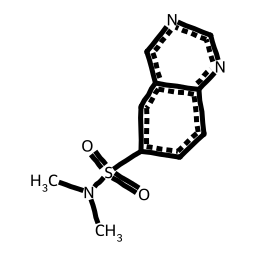 CN(C)S(=O)(=O)c1ccc2ncncc2c1